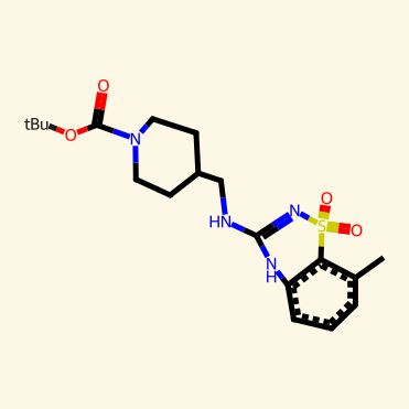 Cc1cccc2c1S(=O)(=O)N=C(NCC1CCN(C(=O)OC(C)(C)C)CC1)N2